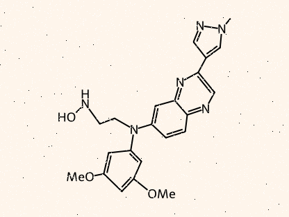 COc1cc(OC)cc(N(CCNO)c2ccc3ncc(-c4cnn(C)c4)nc3c2)c1